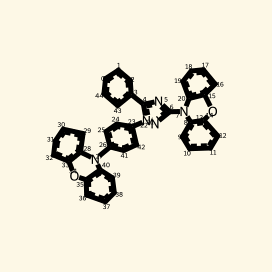 c1ccc(-c2nc(N3c4ccccc4Oc4ccccc43)nn2-c2ccc(N3c4ccccc4Oc4ccccc43)cc2)cc1